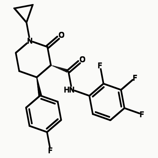 O=C(Nc1ccc(F)c(F)c1F)[C@H]1C(=O)N(C2CC2)CC[C@@H]1c1ccc(F)cc1